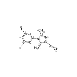 C#Cc1nc(C)n(-c2cc(F)cc(F)c2)c1C